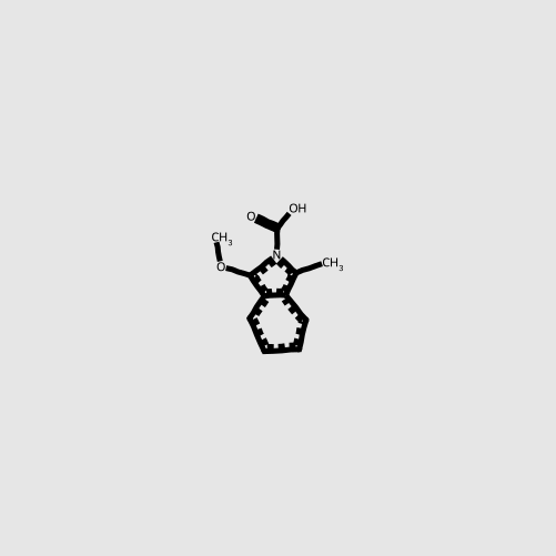 COc1c2ccccc2c(C)n1C(=O)O